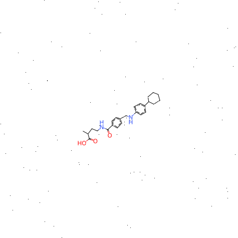 CC(CCNC(=O)c1ccc(CNc2ccc(C3CCCCC3)cc2)cc1)C(=O)O